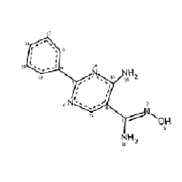 NC(=NO)c1cnc(-c2ccccc2)nc1N